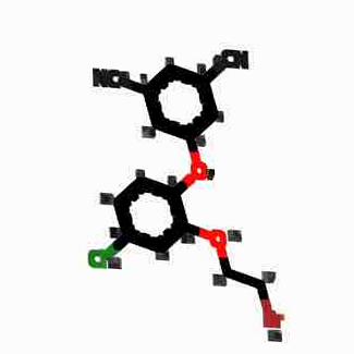 N#Cc1cc(C#N)cc(Oc2ccc(Cl)cc2OCCBr)c1